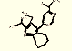 CCc1c(C(C)C)nc2c(c1-c1ccnc(C(C)C)c1)CCCCC2